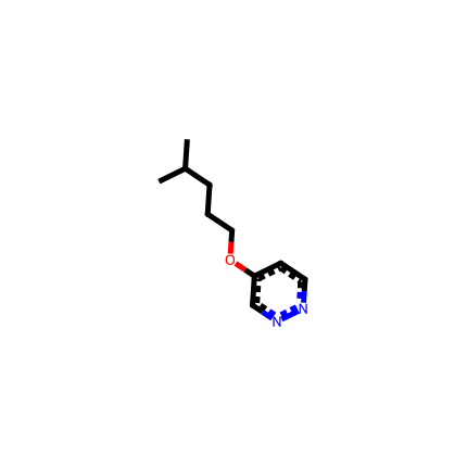 CC(C)CCCOc1ccnnc1